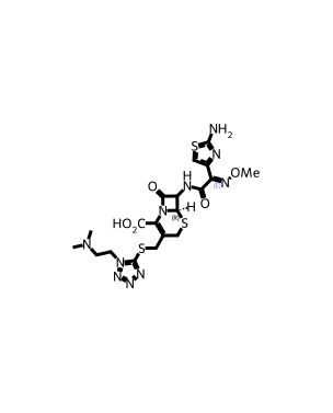 CO/N=C(/C(=O)NC1C(=O)N2C(C(=O)O)=C(CSc3nnnn3CCN(C)C)CS[C@H]12)c1csc(N)n1